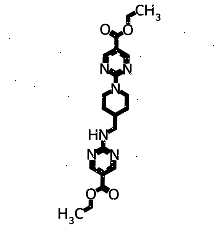 CCOC(=O)c1cnc(NCC2CCN(c3ncc(C(=O)OCC)cn3)CC2)nc1